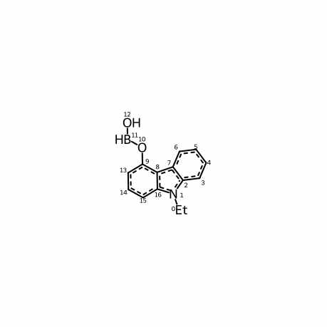 CCn1c2ccccc2c2c(OBO)cccc21